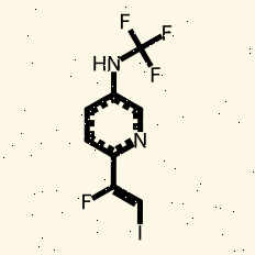 F/C(=C\I)c1ccc(NC(F)(F)F)cn1